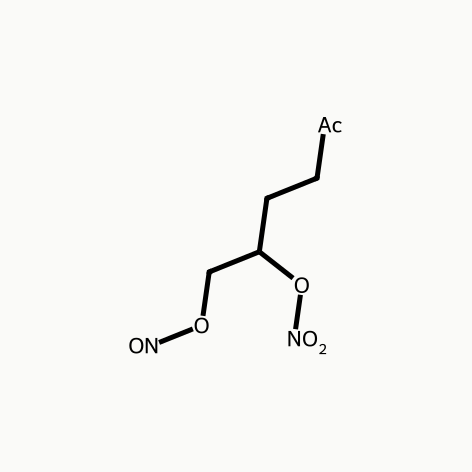 CC(=O)CCC(CON=O)O[N+](=O)[O-]